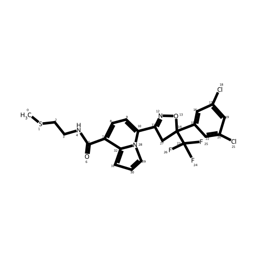 CSCCNC(=O)c1ccc(C2=NOC(c3cc(Cl)cc(Cl)c3)(C(F)(F)F)C2)n2cccc12